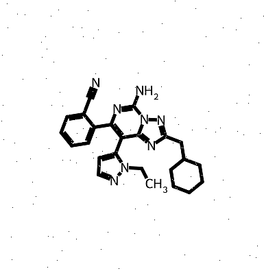 CCn1nccc1-c1c(-c2ccccc2C#N)nc(N)n2nc(CC3CCCCC3)nc12